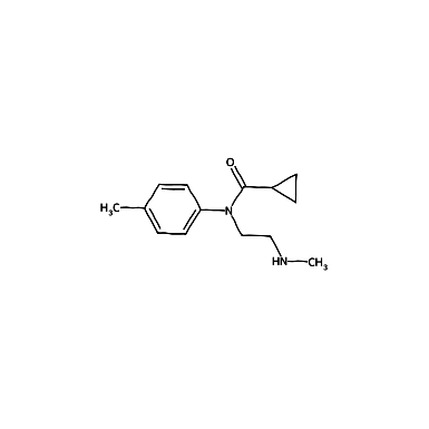 CNCCN(C(=O)C1CC1)c1ccc(C)cc1